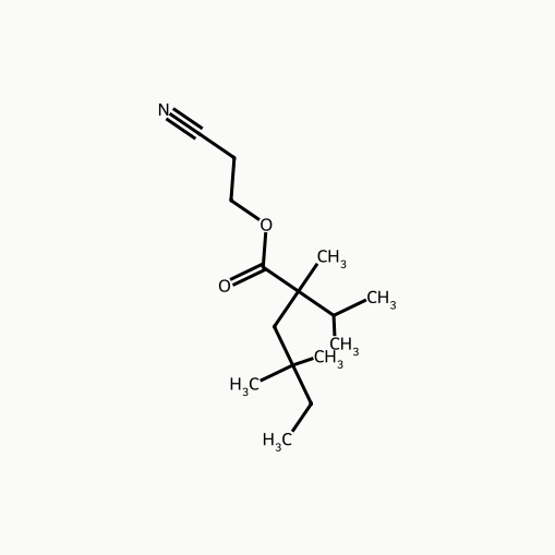 CCC(C)(C)CC(C)(C(=O)OCCC#N)C(C)C